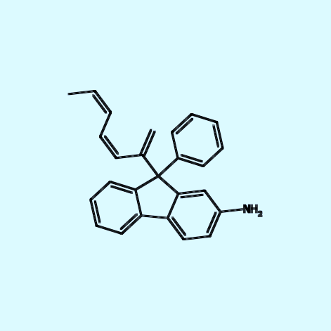 C=C(/C=C\C=C/C)C1(c2ccccc2)c2ccccc2-c2ccc(N)cc21